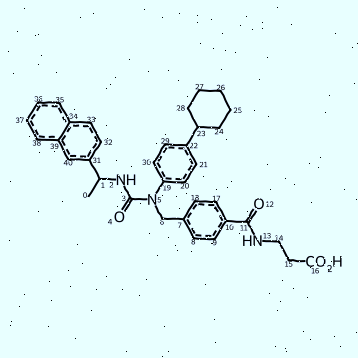 CC(NC(=O)N(Cc1ccc(C(=O)NCCC(=O)O)cc1)c1ccc(C2CCCCC2)cc1)c1ccc2ccccc2c1